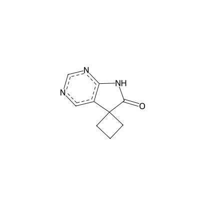 O=C1Nc2ncncc2C12CCC2